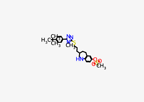 Cn1c(SCCCC2CCc3cc(OS(C)(=O)=O)ccc3NC2)nnc1-c1ccc(C(C)(C)C)cc1